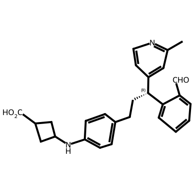 Cc1cc([C@@H](CCc2ccc(NC3CC(C(=O)O)C3)cc2)c2ccccc2C=O)ccn1